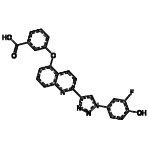 O=C(O)c1cccc(Oc2cccc3nc(-c4cn(-c5ccc(O)c(F)c5)nn4)ccc23)c1